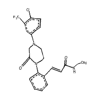 O=C(C=Cc1ccccc1N1CCN(c2ccc(Cl)c(C(F)(F)F)c2)CC1=O)NO